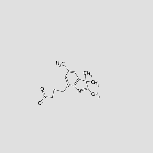 CC1=Nc2c(cc(C)c[n+]2CCCS(=O)[O-])C1(C)C